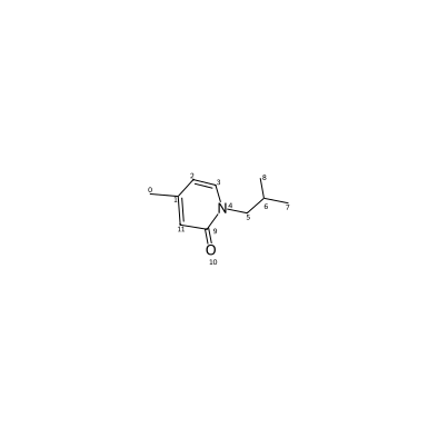 Cc1ccn(CC(C)C)c(=O)c1